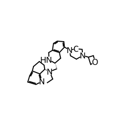 CCN(C[C@H]1Cc2c(cccc2N2CCN(C3COC3)CC2)CN1)[C@H]1CCCc2cccnc21